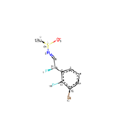 CC(C)(C)[S@@+]([O-])N=C[C@H](F)c1cccc(Br)c1F